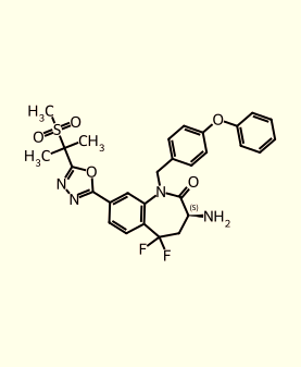 CC(C)(c1nnc(-c2ccc3c(c2)N(Cc2ccc(Oc4ccccc4)cc2)C(=O)[C@@H](N)CC3(F)F)o1)S(C)(=O)=O